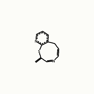 C=C1/C=N\C=C/Cc2cccnc2S1